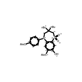 CCCCC1(CCCC)CN(c2ccc(OC)cc2)c2cc(SC)c(O)cc2S(=O)(=O)C1